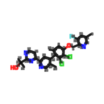 Cc1cnc(COc2cc(C)c(-c3cc(-c4ccnc(C(C)(C)O)n4)ncc3C)c(Cl)c2Cl)c(F)c1